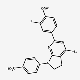 CCc1nc(-c2ccc(OC)c(F)c2)nc2c1CCN2c1ccc(C(=O)O)cc1